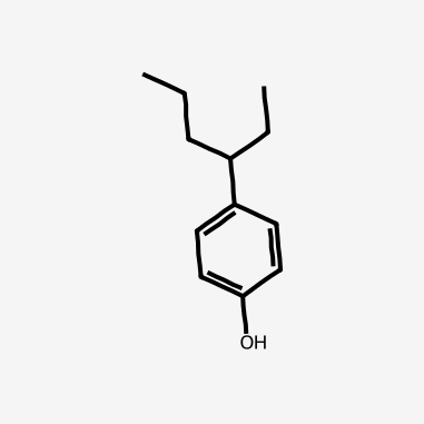 CCCC(CC)c1ccc(O)cc1